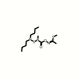 CCCCN(CCCC)SN(C)C(=O)ON=C(C)SC